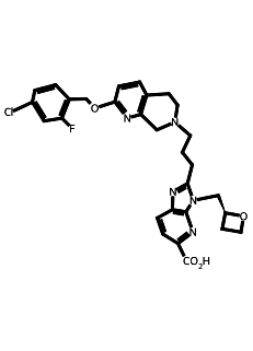 O=C(O)c1ccc2nc(CCCN3CCc4ccc(OCc5ccc(Cl)cc5F)nc4C3)n(C[C@@H]3CCO3)c2n1